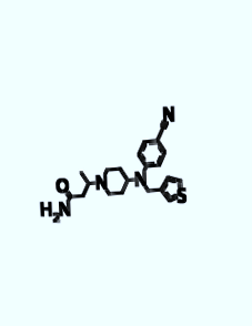 CC(CC(N)=O)N1CCC(N(Cc2ccsc2)c2ccc(C#N)cc2)CC1